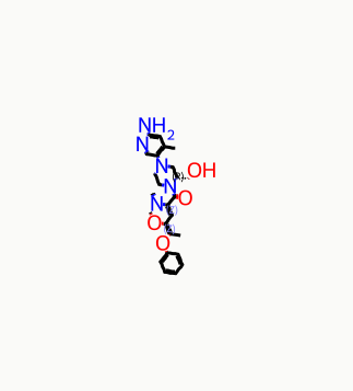 C=N/C(=C\C(OC)=C(/C)Oc1ccccc1)C(=O)N1CCN(c2cnc(N)cc2C)C[C@@H]1CO